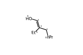 CCCC/C(=C/O)CC